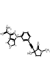 CN1CCC(O)(C#Cc2cccc(-n3nc(C(N)=O)c4c3COC4)c2)C1=O